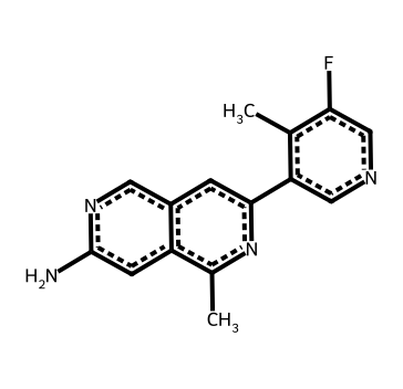 Cc1c(F)cncc1-c1cc2cnc(N)cc2c(C)n1